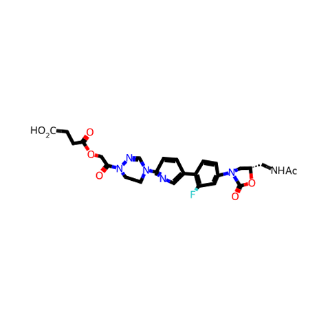 CC(=O)NC[C@H]1CN(c2ccc(-c3ccc(N4C=NN(C(=O)COC(=O)CCC(=O)O)CC4)nc3)c(F)c2)C(=O)O1